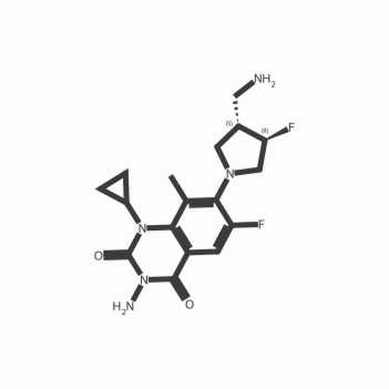 Cc1c(N2C[C@H](CN)[C@@H](F)C2)c(F)cc2c(=O)n(N)c(=O)n(C3CC3)c12